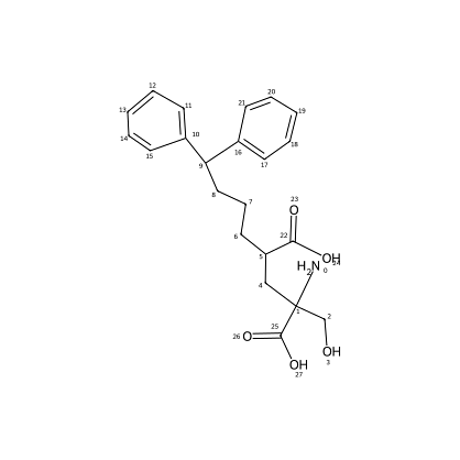 NC(CO)(CC(CCCC(c1ccccc1)c1ccccc1)C(=O)O)C(=O)O